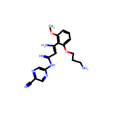 COc1cccc(OCCCN)c1/C(N)=C/C(=N)Nc1cnc(C#N)cn1